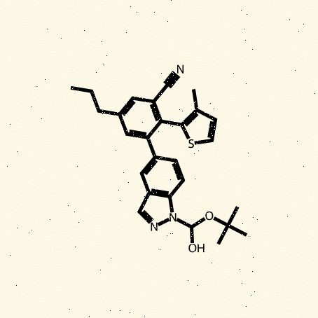 CCCc1cc(C#N)c(-c2sccc2C)c(-c2ccc3c(cnn3C(O)OC(C)(C)C)c2)c1